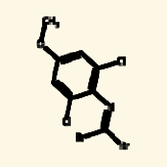 COc1cc(Cl)c(N=C(Br)Br)c(Cl)c1